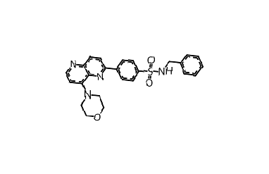 O=S(=O)(NCc1ccccc1)c1ccc(-c2ccc3nccc(N4CCOCC4)c3n2)cc1